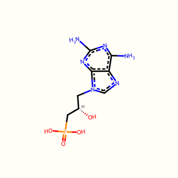 Nc1nc(N)c2ncn(C[C@H](O)CP(=O)(O)O)c2n1